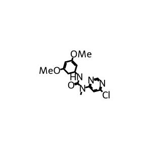 COC1=CC(NC(=O)N(C)c2cc(Cl)ncn2)CC(OC)=C1